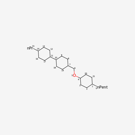 CCCCCC1CCC(OCC2CCC(C3CCC(CCC)CC3)CC2)CC1